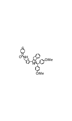 COc1ccc(C(c2ccc(OC)cc2)n2nc(-c3ccc(CNC(=O)N4CCN(C)CC4)s3)c3c2-c2ccccc2C3)cc1